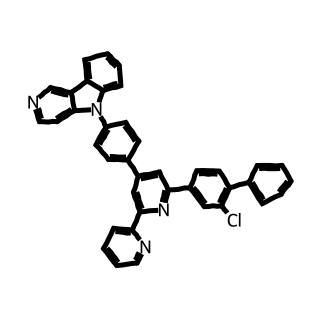 Clc1cc(-c2cc(-c3ccc(-n4c5ccccc5c5cnccc54)cc3)cc(-c3ccccn3)n2)ccc1-c1ccccc1